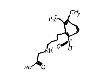 Cc1ccc([N+](=O)[O-])c(CCCNCC(=O)O)c1C